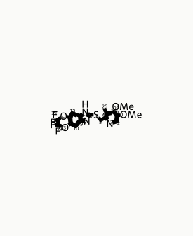 COc1cnc(CSc2nc3cc4c(cc3[nH]2)OC(F)(F)C(F)(F)O4)c(C)c1OC